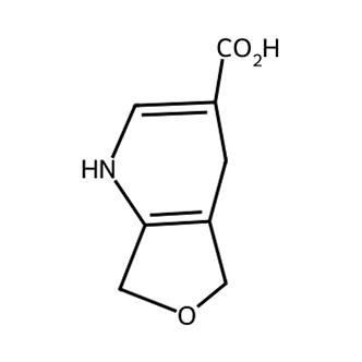 O=C(O)C1=CNC2=C(COC2)C1